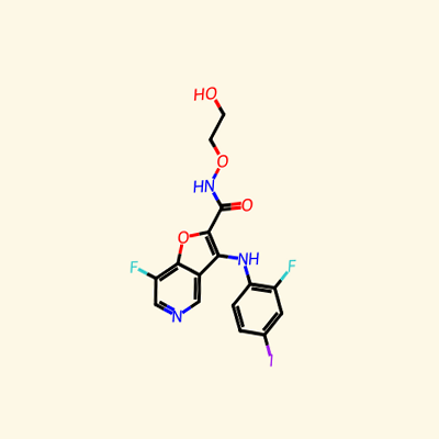 O=C(NOCCO)c1oc2c(F)cncc2c1Nc1ccc(I)cc1F